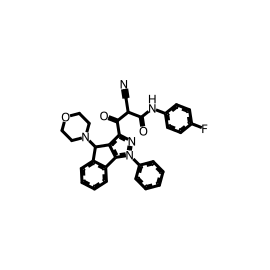 N#CC(C(=O)Nc1ccc(F)cc1)C(=O)c1nn(-c2ccccc2)c2c1C(N1CCOCC1)c1ccccc1-2